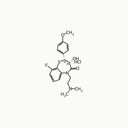 COc1ccc([C@H]2Sc3c(F)cccc3N(CCN(C)C)C(=O)[C@H]2O)cc1.Cl